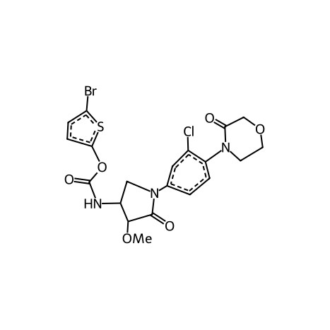 COC1C(=O)N(c2ccc(N3CCOCC3=O)c(Cl)c2)CC1NC(=O)Oc1ccc(Br)s1